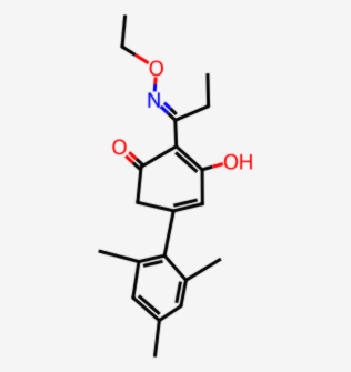 CCON=C(CC)C1=C(O)C=C(c2c(C)cc(C)cc2C)CC1=O